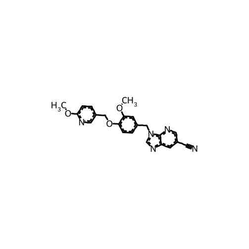 COc1ccc(COc2ccc(Cn3cnc4cc(C#N)cnc43)cc2OC)cn1